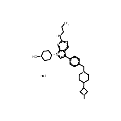 Cl.O[C@H]1CC[C@H](n2cc(-c3ccc(CN4CCC(C5CNC5)CC4)cc3)c3cnc(NCCC(F)(F)F)nc32)CC1